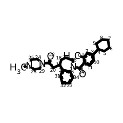 Cc1cc(C2CCCCC2)ccc1C(=O)N1CCCC(CC(=O)N2CCN(C)CC2)c2ccccc21